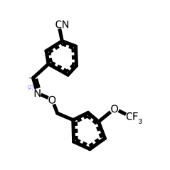 N#Cc1cccc(/[C]=N\OCc2cccc(OC(F)(F)F)c2)c1